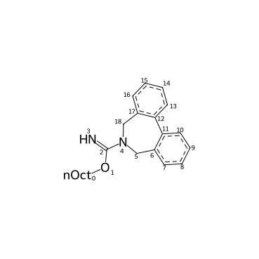 CCCCCCCCOC(=N)N1Cc2ccccc2-c2ccccc2C1